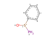 [O-][S+](P)c1ccccc1